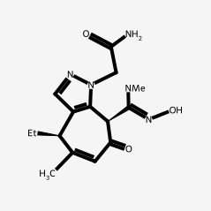 CC[C@@H]1C(C)=CC(=O)[C@H](/C(=N/O)NC)c2c1cnn2CC(N)=O